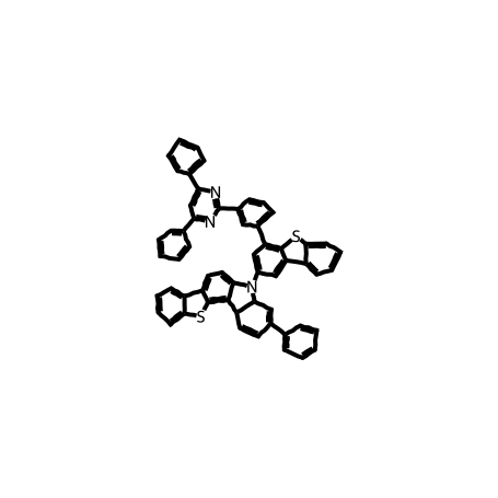 C1=CC2c3c(ccc4c3sc3ccccc34)N(c3cc(-c4cccc(-c5nc(-c6ccccc6)cc(-c6ccccc6)n5)c4)c4sc5ccccc5c4c3)C2C=C1c1ccccc1